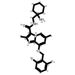 Cc1cc(OCc2c(F)cccc2F)c2nc(C)c(C(=O)NCC3(N)CCCCC3)n2c1